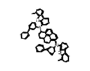 Cc1cccc2c1oc1c(N(c3cccc(-c4ccccc4)c3)c3ccc4ccc5c(N(c6cccc(-c7ccccc7)c6)c6cccc7c6oc6c(C)cccc67)ccc6ccc3c4c65)cccc12